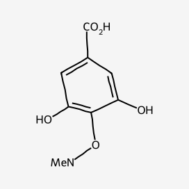 CNOc1c(O)cc(C(=O)O)cc1O